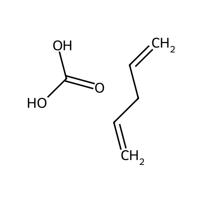 C=CCC=C.O=C(O)O